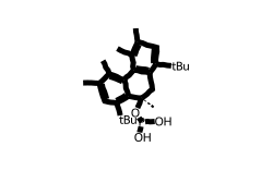 Cc1cc(C(C)(C)C)c2c(c1C)-c1c(C)c(C)cc(C(C)(C)C)c1[C@](C)(OP(O)O)C2